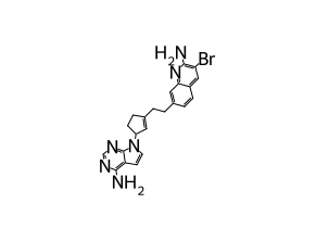 Nc1nc2cc(CCC3=CC(n4ccc5c(N)ncnc54)CC3)ccc2cc1Br